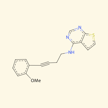 COc1ccccc1C#CCCNc1ncnc2sccc12